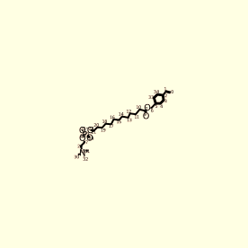 C=Cc1ccc(COC(=O)CCCCCCCCCCCCOP(=O)([O-])OCC[N+](C)(C)C)cc1